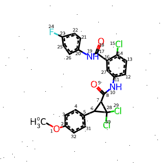 COc1ccc(C2C(C(=O)Nc3ccc(Cl)c(C(=O)Nc4ccc(F)cc4)c3)C2(Cl)Cl)cc1